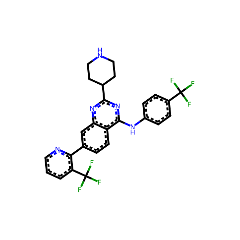 FC(F)(F)c1ccc(Nc2nc(C3CCNCC3)nc3cc(-c4ncccc4C(F)(F)F)ccc23)cc1